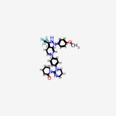 COc1ccc(N2NC(C(F)(F)F)=C3CCN(c4ccc(N5CCCN=C5N5CCCCC5=O)cc4)C=C32)cc1